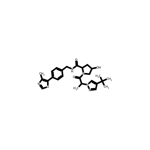 Cc1ncoc1-c1ccc(CNC(=O)C2CC(O)CN2C(=O)C(C)n2cc(C(C)(C)C)cn2)cc1